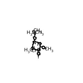 Cc1ccc(C2=C3C=C(c4ccc(I)cc4)C(=N3)C=C3N=C(C=C4C=C(c5ccc(C#C[Si](C)(C)C)cc5)C(=N4)C=C4C=CC2=N4)CC3(C)C)cc1